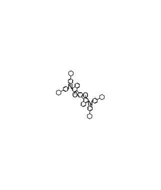 c1ccc2c(c1)c(N(c1ccc(C3CCCCC3)cc1)c1ccc(C3CCCCC3)cc1)cc1oc3cc4c(cc3c12)oc1cc(N(c2ccc(C3CCCCC3)cc2)c2ccc(C3CCCCC3)cc2)c2ccccc2c14